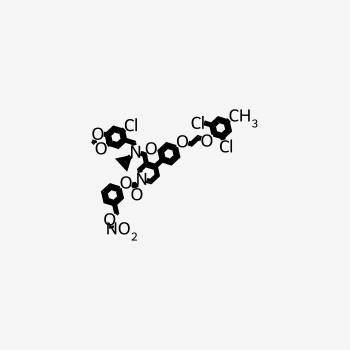 Cc1cc(Cl)c(OCCOc2ccc(C3=C(C(=O)N(Cc4cc5c(cc4Cl)OCO5)C4CC4)CN(C(=O)Oc4cccc(CO[N+](=O)[O-])c4)CC3)cc2)c(Cl)c1